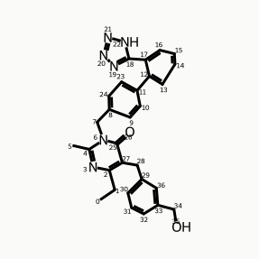 CCc1nc(C)n(Cc2ccc(-c3ccccc3-c3nnn[nH]3)cc2)c(=O)c1Cc1cccc(CO)c1